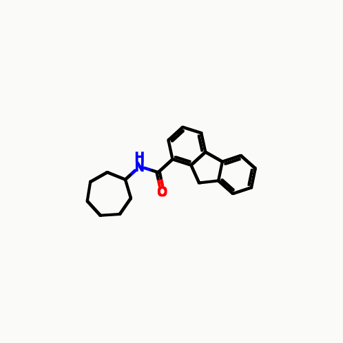 O=C(NC1CCCCCC1)c1cccc2c1Cc1ccccc1-2